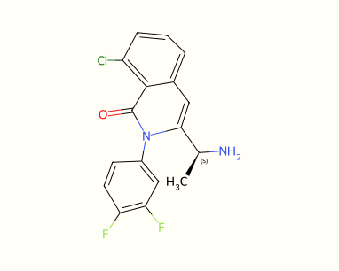 C[C@H](N)c1cc2cccc(Cl)c2c(=O)n1-c1ccc(F)c(F)c1